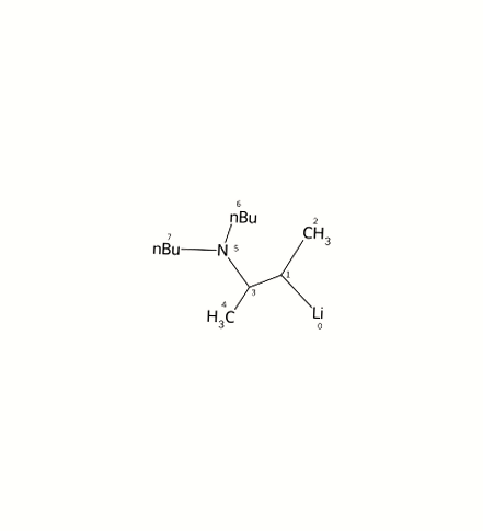 [Li][CH](C)C(C)N(CCCC)CCCC